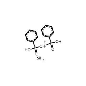 O=P(O)(O)c1ccccc1.O=P(O)(O)c1ccccc1.[SiH4]